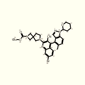 Cc1ccc2c(cnn2C2CCCCO2)c1-c1c(C#N)c(N2CCC3(CN(C(=O)OC(C)(C)C)C3)C2)nc2cc(Br)ccc12